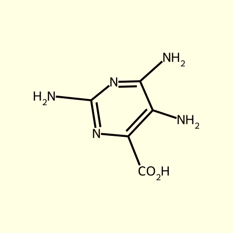 Nc1nc(N)c(N)c(C(=O)O)n1